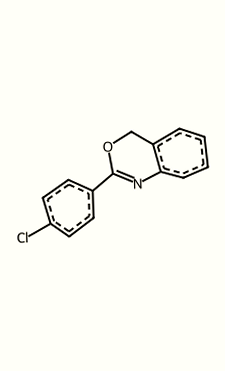 Clc1ccc(C2=Nc3ccccc3CO2)cc1